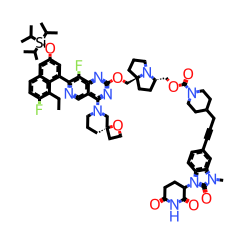 CCc1c(F)ccc2cc(O[Si](C(C)C)(C(C)C)C(C)C)cc(-c3ncc4c(N5CCC[C@]6(CCO6)C5)nc(OC[C@@]56CCCN5[C@H](COC(=O)N5CCC(CC#Cc7ccc8c(c7)n(C)c(=O)n8C7CCC(=O)NC7=O)CC5)CC6)nc4c3F)c12